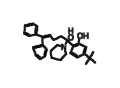 CC(C)(C)c1ccc(C(O)(CCC=C(c2ccccc2)c2ccccc2)N2CCCCC2)c(O)c1